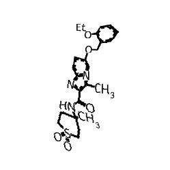 CCOc1ccccc1COc1ccc2nc(C(=O)NC3(C)CCS(=O)(=O)CC3)c(C)n2c1